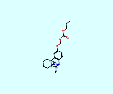 CCCOC(=O)OCOc1ccc2c(c1)[C@@]13CCCC[C@H]1[C@@H](C2)NCC3